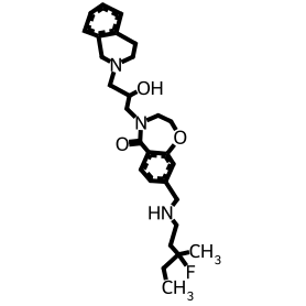 CCC(C)(F)CCNCc1ccc2c(c1)OCCN(CC(O)CN1CCc3ccccc3C1)C2=O